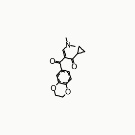 CN(C)/C=C(/C(=O)c1ccc2c(c1)OCCO2)C(=O)C1CC1